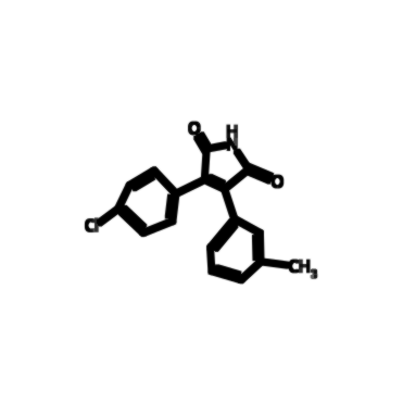 Cc1cccc(C2=C(c3ccc(Cl)cc3)C(=O)NC2=O)c1